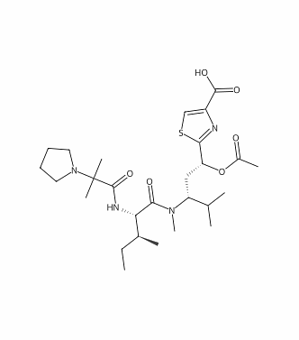 CC[C@H](C)[C@H](NC(=O)C(C)(C)N1CCCC1)C(=O)N(C)[C@H](C[C@@H](OC(C)=O)c1nc(C(=O)O)cs1)C(C)C